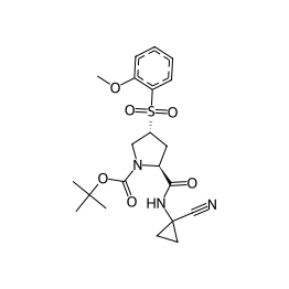 COc1ccccc1S(=O)(=O)[C@@H]1C[C@@H](C(=O)NC2(C#N)CC2)N(C(=O)OC(C)(C)C)C1